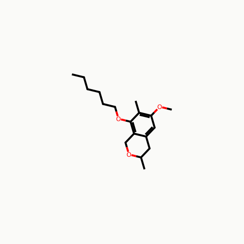 CCCCCCOc1c(C)c(OC)cc2c1COC(C)C2